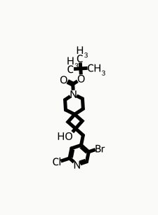 CC(C)(C)OC(=O)N1CCC2(CC1)CC(O)(Cc1cc(Cl)ncc1Br)C2